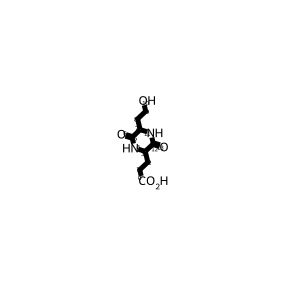 O=C(O)CCC1NC(=O)C(CCO)NC1=O